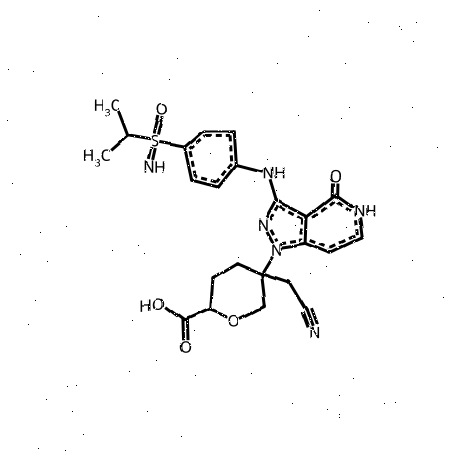 CC(C)S(=N)(=O)c1ccc(Nc2nn(C3(CC#N)CCC(C(=O)O)OC3)c3cc[nH]c(=O)c23)cc1